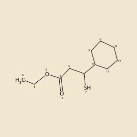 CCOC(=O)CC(S)C1CCCCC1